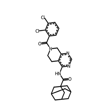 O=C(c1cccc(Cl)c1Cl)N1CCc2c(ncnc2NC(=O)C23CC4CC(CC(C4)C2)C3)C1